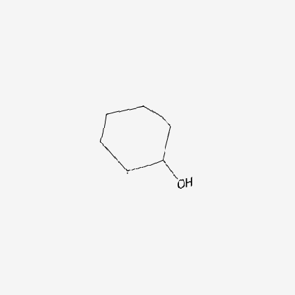 OC1[CH]CCCC1